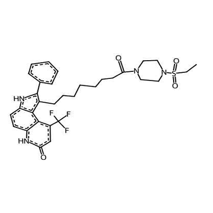 CCS(=O)(=O)N1CCN(C(=O)CCCCCCCc2c(-c3ccccc3)[nH]c3ccc4[nH]c(=O)cc(C(F)(F)F)c4c23)CC1